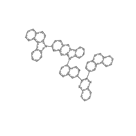 c1cc(-n2c3ccccc3c3cc4ccc(-n5c6ccccc6c6c7ccccc7ccc65)cc4cc32)c2ccc(-c3nc4ccccc4nc3-c3ccc4ccc5ccccc5c4c3)cc2c1